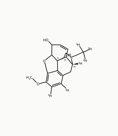 [2H]c1c([2H])c(OC)c2c3c1C[C@]1([2H])[C@@H]4C=CC(O)C(O2)[C@]34CCN1C([2H])([2H])[2H]